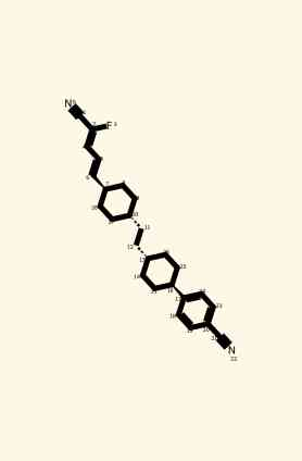 N#C/C(F)=C/C=C/[C@H]1CC[C@H](CC[C@H]2CC[C@H](c3ccc(C#N)cc3)CC2)CC1